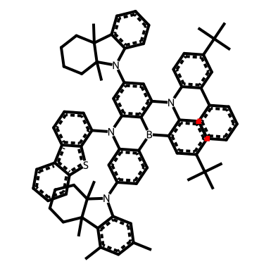 Cc1cc(C)c2c(c1)N(c1ccc3c(c1)N(c1cccc4c1sc1ccccc14)c1cc(N4c5ccccc5C5(C)CCCCC45C)cc4c1B3c1cc(C(C)(C)C)ccc1N4c1ccc(C(C)(C)C)cc1-c1ccccc1)C1(C)CCCCC21C